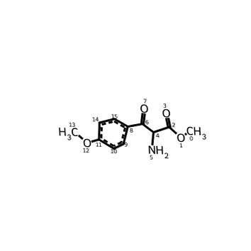 COC(=O)C(N)C(=O)c1ccc(OC)cc1